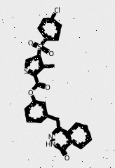 Cc1c(S(=O)(=O)c2ccc(Cl)cc2)csc1C(=O)Oc1cccc(Cc2n[nH]c(=O)c3ccccc23)c1